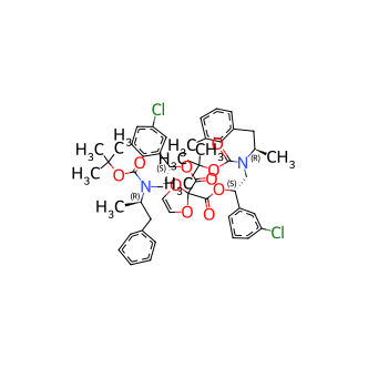 Cc1cccc(C[C@@H](C)N(C[C@@H](OC(=O)C2(C(=O)O[C@H](CN(C(=O)OC(C)(C)C)[C@H](C)Cc3ccccc3)c3cccc(Cl)c3)OC=CO2)c2cccc(Cl)c2)C(=O)OC(C)(C)C)c1